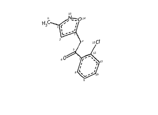 Cc1cc(CC(=O)c2ccccc2Cl)on1